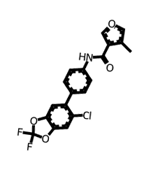 Cc1cocc1C(=O)Nc1ccc(-c2cc3c(cc2Cl)OC(F)(F)O3)cc1